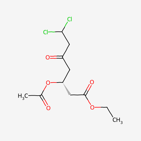 CCOC(=O)C[C@@H](CC(=O)CC(Cl)Cl)OC(C)=O